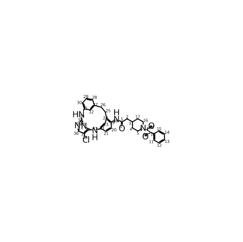 O=C(CC1CCN(S(=O)(=O)c2ccccc2)CC1)Nc1ccc2cc1CCc1cccc(c1)Nc1ncc(Cl)c(n1)N2